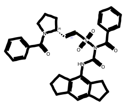 O=C(c1ccccc1)N1CCC[C@@H]1/C=C/S(=O)(=O)N(C(=O)Nc1c2c(cc3c1CCC3)CCC2)C(=O)c1ccccc1